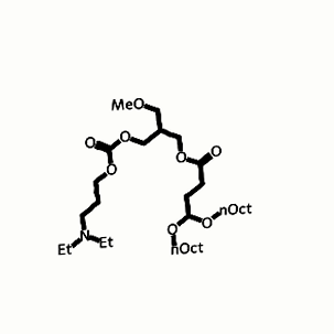 CCCCCCCCOC(CCC(=O)OCC(COC)COC(=O)OCCCN(CC)CC)OCCCCCCCC